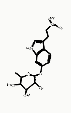 CCCN(CCC)CCc1c[nH]c2cc(OC3OC(C)C(O)C(O)C3O)ccc12